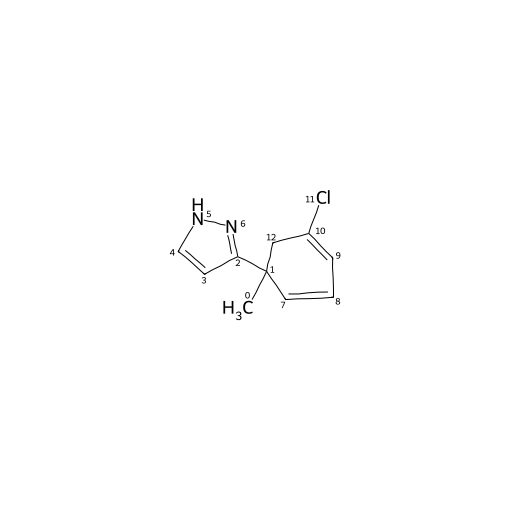 CC1(c2cc[nH]n2)C=CC=C(Cl)C1